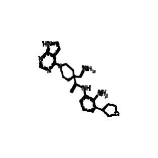 C=C(Nc1cccc(C2CCOC2)c1N)C1(CN)CCN(c2ncnc3[nH]ccc23)CC1